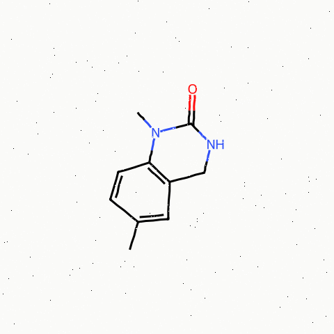 Cc1ccc2c(c1)CNC(=O)N2C